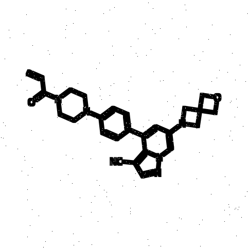 C=CC(=O)N1CCN(c2ccc(-c3cc(N4CC5(COC5)C4)cn4ncc(C#N)c34)cc2)CC1